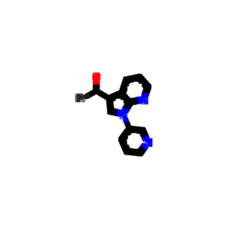 CC(C)C(=O)c1cn(-c2cccnc2)c2ncccc12